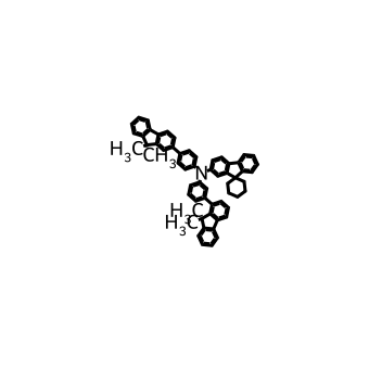 CC1(C)c2ccccc2-c2ccc(-c3ccc(N(c4cccc(-c5cccc6c5C(C)(C)c5ccccc5-6)c4)c4ccc5c(c4)C4(CCCCC4)c4ccccc4-5)cc3)cc21